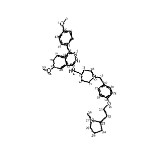 COc1ccc(-c2nnc(NC3CCN(Cc4ccc(OCCC5CCCN5C)cc4)CC3)c3c2=CCC(OC)C=3)cc1